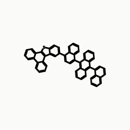 c1ccc2c(-c3c4ccccc4c(-c4ccc(-c5ccc6sc7c8ccccc8c8ccccc8c7c6c5)c5ccccc45)c4ccccc34)cccc2c1